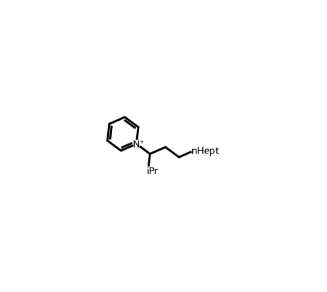 CCCCCCCCCC(C(C)C)[n+]1ccccc1